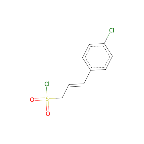 O=S(=O)(Cl)CC=Cc1ccc(Cl)cc1